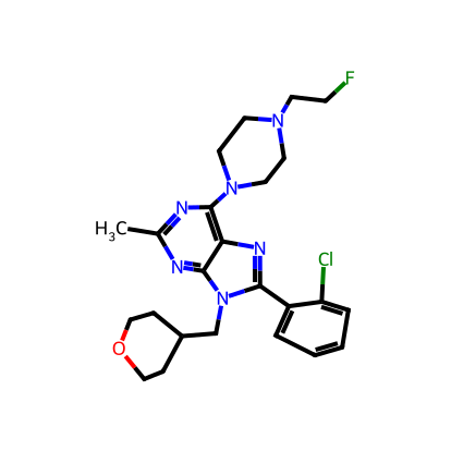 Cc1nc(N2CCN(CCF)CC2)c2nc(-c3ccccc3Cl)n(CC3CCOCC3)c2n1